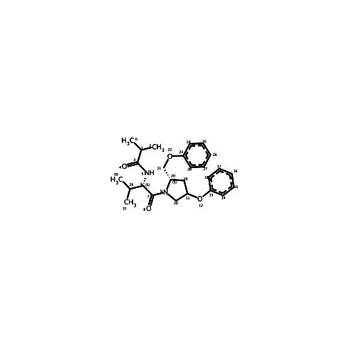 CC(C)C(=O)N[C@H](C(=O)N1CC(Oc2ccccc2)C[C@H]1COc1ccccc1)C(C)C